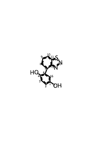 Oc1ccc(O)c(-c2cccc3snnc23)c1